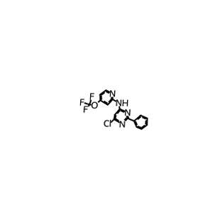 FC(F)(F)Oc1ccnc(Nc2cc(Cl)nc(-c3ccccc3)n2)c1